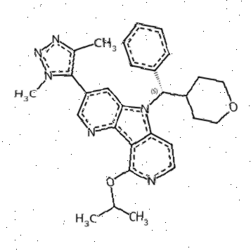 Cc1nnn(C)c1-c1cnc2c3c(OC(C)C)nccc3n([C@H](c3ccccc3)C3CCOCC3)c2c1